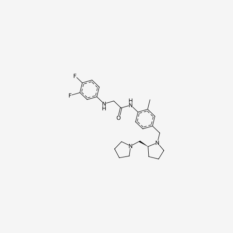 Cc1cc(CN2CCC[C@H]2CN2CCCC2)ccc1NC(=O)CNc1ccc(F)c(F)c1